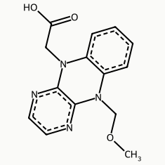 COCN1c2ccccc2N(CC(=O)O)c2nccnc21